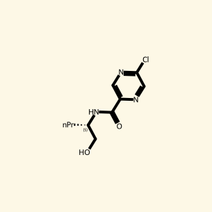 CCC[C@@H](CO)NC(=O)c1cnc(Cl)cn1